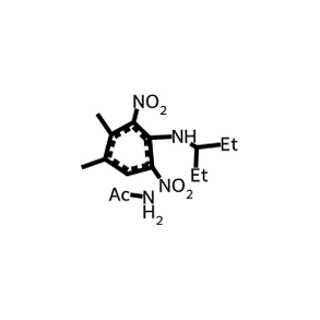 CC(N)=O.CCC(CC)Nc1c([N+](=O)[O-])cc(C)c(C)c1[N+](=O)[O-]